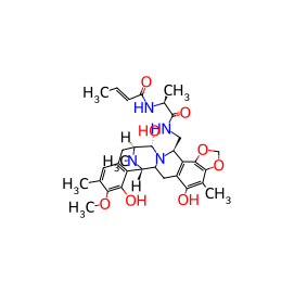 C/C=C/C(=O)N[C@@H](C)C(=O)NC[C@H]1c2c(c(O)c(C)c3c2OCO3)CC2[C@@H]3c4c(cc(C)c(OC)c4O)C[C@@H]([C@H](O)N21)N3C